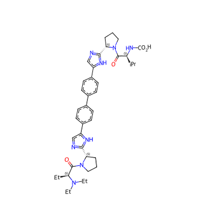 CC[C@@H](C(=O)N1CCC[C@H]1c1ncc(-c2ccc(-c3ccc(-c4cnc([C@@H]5CCCN5C(=O)[C@@H](NC(=O)O)C(C)C)[nH]4)cc3)cc2)[nH]1)N(CC)CC